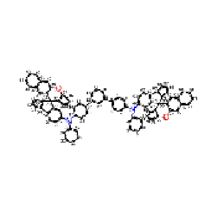 c1ccc(N(c2ccc(-c3cccc(-c4ccc(N(c5ccccc5)c5ccc6c(c5)C5(c7ccccc7Oc7cc8ccccc8cc75)c5ccccc5-6)cc4)c3)cc2)c2ccc3c(c2)C2(c4ccccc4Oc4cc5ccccc5cc42)c2ccccc2-3)cc1